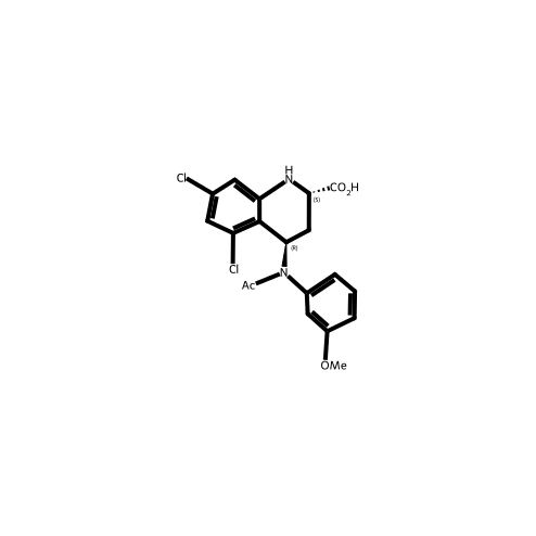 COc1cccc(N(C(C)=O)[C@@H]2C[C@@H](C(=O)O)Nc3cc(Cl)cc(Cl)c32)c1